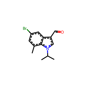 Cc1cc(Br)cc2c(C=O)cn(C(C)C)c12